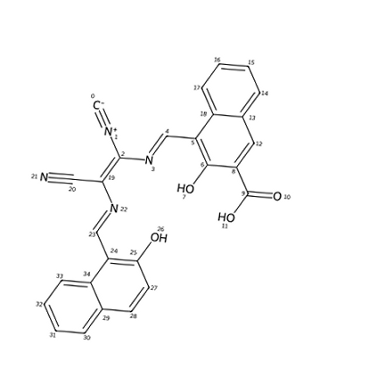 [C-]#[N+]C(/N=C/c1c(O)c(C(=O)O)cc2ccccc12)=C(C#N)/N=C/c1c(O)ccc2ccccc12